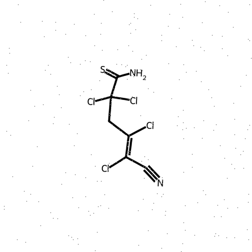 N#CC(Cl)=C(Cl)CC(Cl)(Cl)C(N)=S